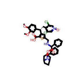 COc1ccc([C@H](Cc2c(Cl)c[n+]([O-])cc2Cl)c2cc(CNC(C(=O)OC3CC4CCC(C3)N4Cc3ccccc3)c3ccccc3)sc2C(=O)O)cc1OC